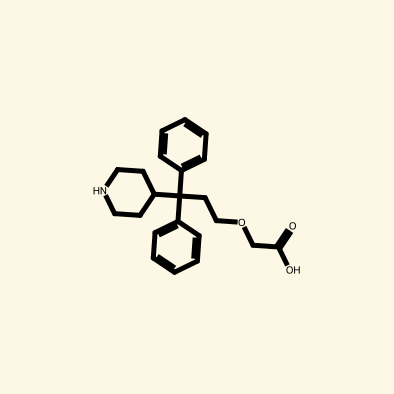 O=C(O)COCCC(c1ccccc1)(c1ccccc1)C1CCNCC1